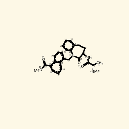 CN[C@@H](C)C(=O)NC1CCc2ccccc2N(Cc2cccc3c(C(=O)OC)cccc23)C1=O